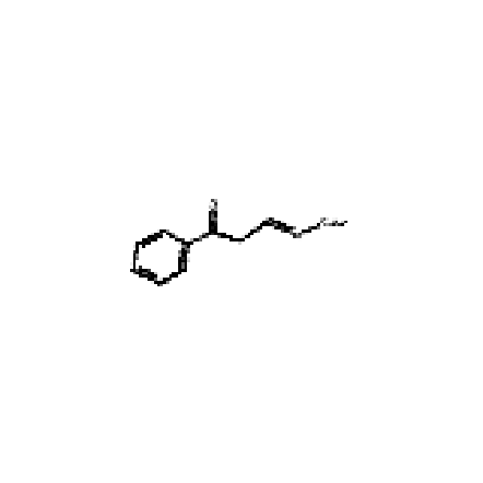 CC(=O)ON=CCC(=O)c1ccccc1